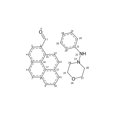 O=Cc1ccc2ccc3cccc4ccc1c2c34.c1ccc(NN2CCOCC2)cc1